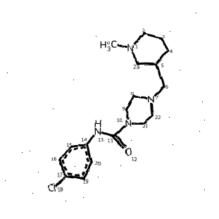 CN1CCCC(CN2CCN(C(=O)Nc3ccc(Cl)cc3)CC2)C1